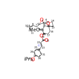 CO[C@H]1C([C@]2(C)OC2CC=C(C)C)[C@@]2(CCO2)CC[C@H]1OC(=O)/C=C/c1ccc(OC(C)C)cc1